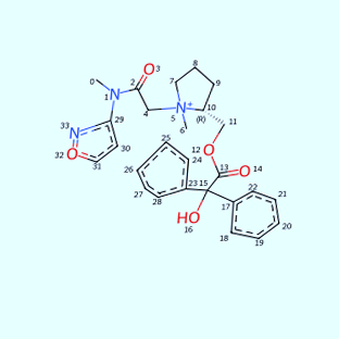 CN(C(=O)C[N+]1(C)CCC[C@@H]1COC(=O)C(O)(c1ccccc1)c1ccccc1)c1ccon1